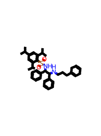 CC(C)c1cc(C(C)C)c(S(=O)(=O)NC(c2ccccc2)C(NCCCC2=CCC=CC2)c2ccccc2)c(C(C)C)c1